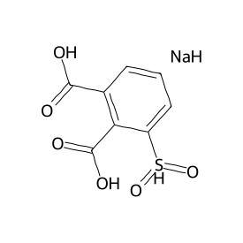 O=C(O)c1cccc([SH](=O)=O)c1C(=O)O.[NaH]